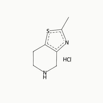 Cc1nc2c(s1)CCNC2.Cl